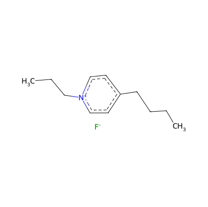 CCCCc1cc[n+](CCC)cc1.[F-]